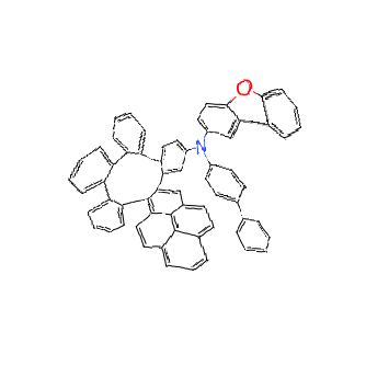 c1ccc(-c2ccc(N(c3ccc4oc5ccccc5c4c3)c3ccc4c5ccccc5c5ccccc5c5ccccc5c5c(cc6ccc7cccc8ccc5c6c78)c4c3)cc2)cc1